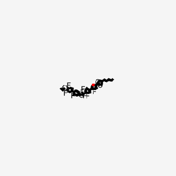 CCCCCC1COC(c2ccc(-c3cc(F)c(C(F)(F)Oc4ccc(-c5cc(F)c(OCC)c(F)c5)c(F)c4)c(F)c3)c(F)c2)OC1